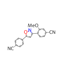 COc1cc(C#N)ccc1-c1cc(-c2ccc(C#N)cc2)on1